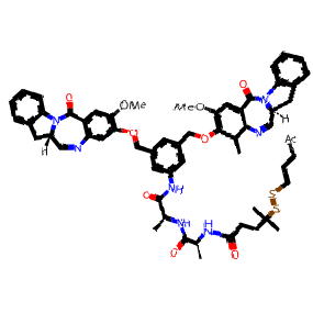 COC1=C(OCc2cc(COc3cc4c(cc3OC)C(=O)N3c5ccccc5C[C@H]3C=N4)cc(NC(=O)[C@H](C)NC(=O)[C@H](C)NC(=O)CCC(C)(C)SSCCCC(C)=O)c2)C(C)C2N=C[C@@H]3Cc4ccccc4N3C(=O)C2=C1